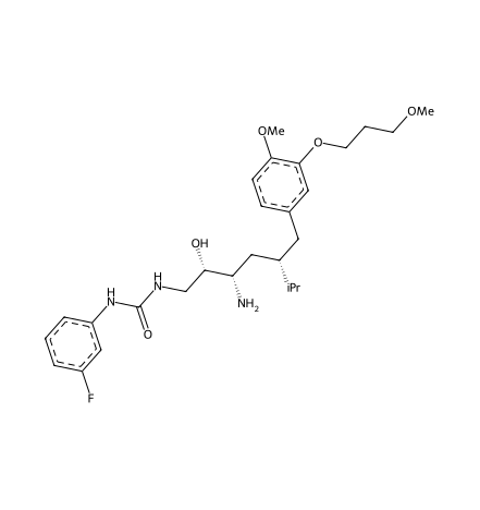 COCCCOc1cc(C[C@@H](C[C@H](N)[C@@H](O)CNC(=O)Nc2cccc(F)c2)C(C)C)ccc1OC